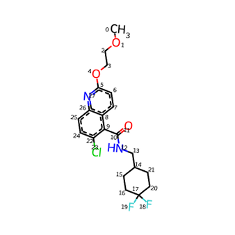 COCCOc1ccc2c(C(=O)NCC3CCC(F)(F)CC3)c(Cl)ccc2n1